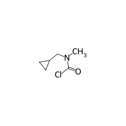 CN(CC1CC1)C(=O)Cl